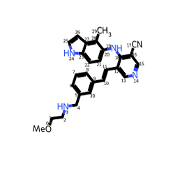 COCCNCc1cccc(C=Cc2cncc(C#N)c2Nc2ccc3[nH]ccc3c2C)c1